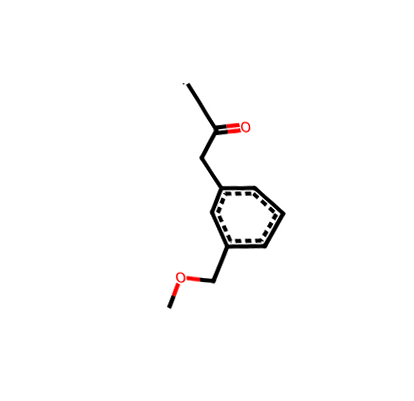 [CH2]C(=O)Cc1cccc(COC)c1